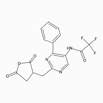 O=C1CC(Cc2ncc(NC(=O)C(F)(F)F)c(-c3ccccc3)n2)C(=O)O1